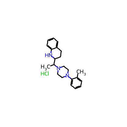 Cc1ccccc1N1CCN(C(C)C2CCc3ccccc3N2)CC1.Cl